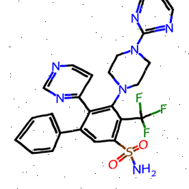 NS(=O)(=O)c1cc(-c2ccccc2)c(-c2ccncn2)c(N2CCN(c3ncccn3)CC2)c1C(F)(F)F